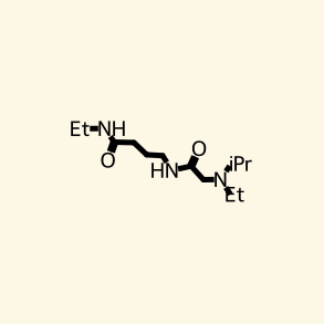 CCNC(=O)CCCNC(=O)CN(CC)C(C)C